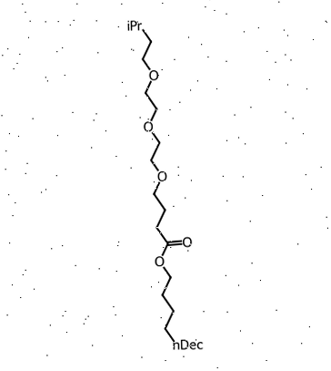 CCCCCCCCCCCCCCOC(=O)CCCOCCOCCOCCC(C)C